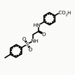 Cc1ccc(S(=O)(=O)NCC(=O)Nc2ccc(C(=O)O)cc2)cc1